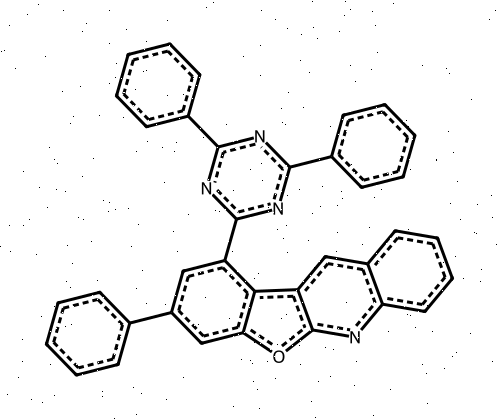 c1ccc(-c2cc(-c3nc(-c4ccccc4)nc(-c4ccccc4)n3)c3c(c2)oc2nc4ccccc4cc23)cc1